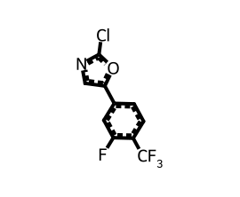 Fc1cc(-c2cnc(Cl)o2)ccc1C(F)(F)F